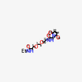 CCNC(=O)CCOCCOCCNC(=O)CN1C(=O)C=CC1=O